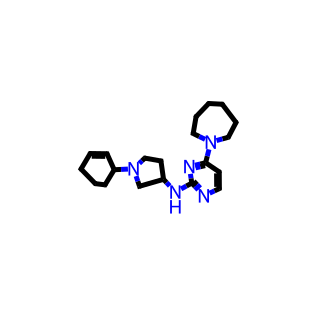 C1=CC(N2CCC(Nc3nccc(N4CCCCCC4)n3)C2)CCC1